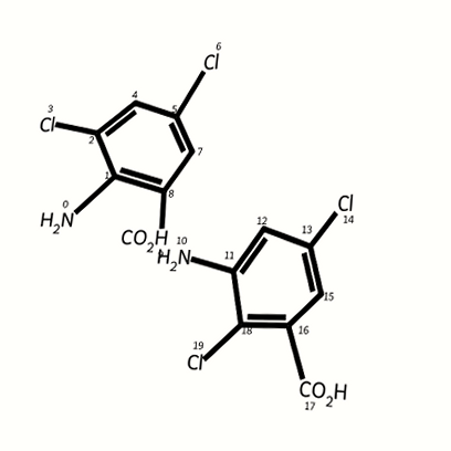 Nc1c(Cl)cc(Cl)cc1C(=O)O.Nc1cc(Cl)cc(C(=O)O)c1Cl